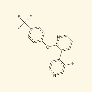 Fc1cnccc1-c1cccnc1Oc1ccc(C(F)(F)F)cc1